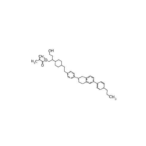 C=C(C)C(=O)OCC(CCO)C1CCC(CCc2ccc(C3CCc4cc(C5=CCC(CCC)C=C5)ccc4C3)cc2)CC1